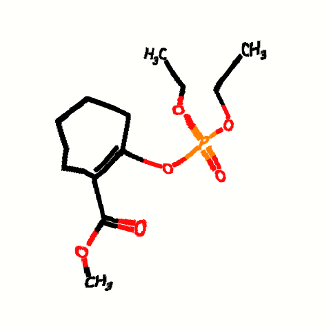 CCOP(=O)(OCC)OC1=C(C(=O)OC)CCCC1